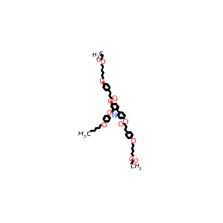 C=CC(=O)OCCCCCCOc1ccc(CCC(=O)Oc2ccc3c(c2)nc(Oc2ccc(OCCCCCC)cc2)c2cc(OC(=O)CCc4ccc(OCCCCCCOC(=O)C=C)cc4)ccc23)cc1